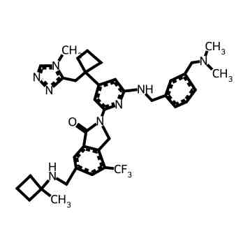 CN(C)Cc1cccc(CNc2cc(C3(Cc4nncn4C)CCC3)cc(N3Cc4c(cc(CNC5(C)CCC5)cc4C(F)(F)F)C3=O)n2)c1